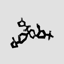 Cn1cccc1-c1ccc(C2(NC(=O)[C@H]3CCNC3)CCN(c3ccc(C(F)(F)F)cc3C#N)CC2)cn1